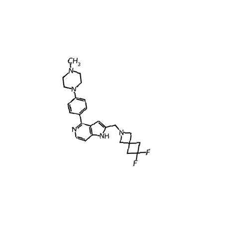 CN1CCN(c2ccc(-c3nccc4[nH]c(CN5CC6(C5)CC(F)(F)C6)cc34)cc2)CC1